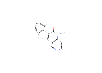 CCn1c(=O)c(-c2c(Cl)cccc2OC)cc2cnc(Cl)cc21